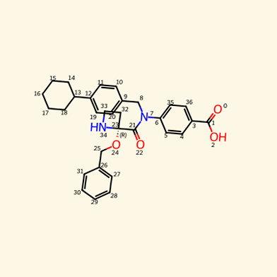 O=C(O)c1ccc(N(Cc2ccc(C3CCCCC3)cc2)C(=O)[C@]2(OCc3ccccc3)CCN2)cc1